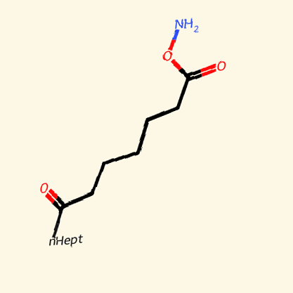 CCCCCCCC(=O)CCCCCC(=O)ON